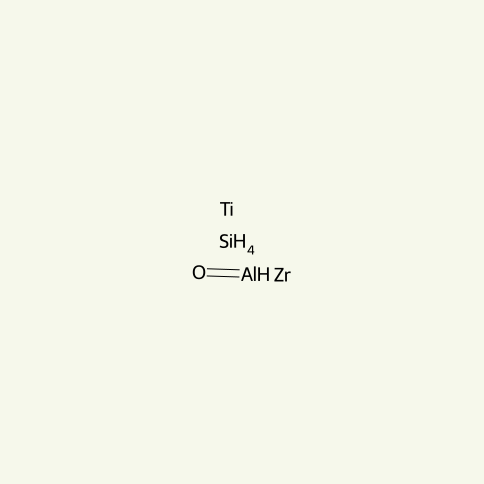 [O]=[AlH].[SiH4].[Ti].[Zr]